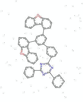 c1ccc(-c2nc(-c3ccccc3)nc(-c3cccc(-c4cc(-c5cccc6oc7ccccc7c56)cc(-c5cccc6oc7ccccc7c56)c4)c3)n2)cc1